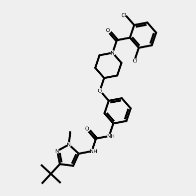 Cn1nc(C(C)(C)C)cc1NC(=O)Nc1cccc(OC2CCN(C(=O)c3c(Cl)cccc3Cl)CC2)c1